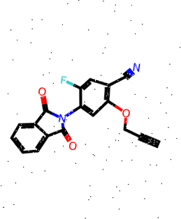 C#CCOc1cc(N2C(=O)c3ccccc3C2=O)c(F)cc1C#N